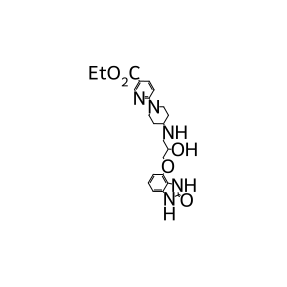 CCOC(=O)c1ccc(N2CCC(NCC(O)COc3cccc4[nH]c(=O)[nH]c34)CC2)nc1